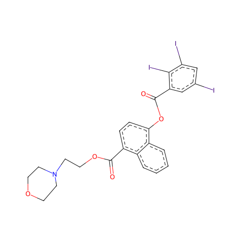 O=C(Oc1ccc(C(=O)OCCN2CCOCC2)c2ccccc12)c1cc(I)cc(I)c1I